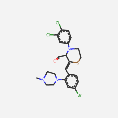 CN1CCN(c2cc(Br)ccc2C=C2SCCN(c3ccc(Cl)c(Cl)c3)C2C=O)CC1